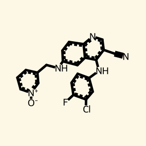 N#Cc1cnc2ccc(NCc3ccc[n+]([O-])c3)cc2c1Nc1ccc(F)c(Cl)c1